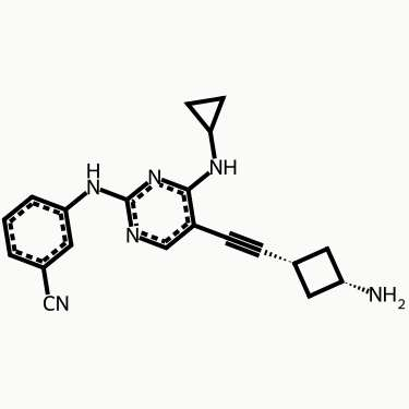 N#Cc1cccc(Nc2ncc(C#C[C@H]3C[C@@H](N)C3)c(NC3CC3)n2)c1